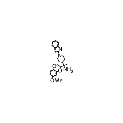 COc1ccc2c(c1)OC(C(C)(N)C1CCN(c3nc4ccccc4s3)CC1)CO2